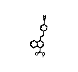 COC(=O)c1ccc(C=Cc2ccc(C#N)cc2)c2ccccc12